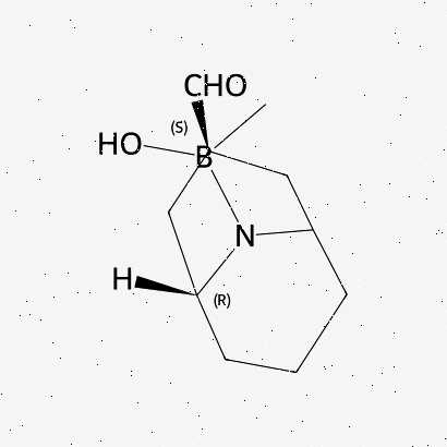 CB(O)N1C2CCC[C@@H]1C[C@@H](C=O)C2